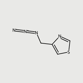 [N-]=[N+]=NCc1cscn1